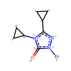 CCn1nc(C2CC2)n(C2CC2)c1=O